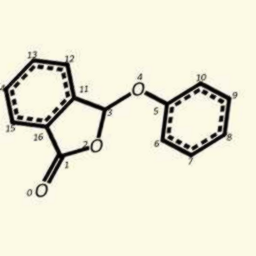 O=C1OC(Oc2ccccc2)c2ccccc21